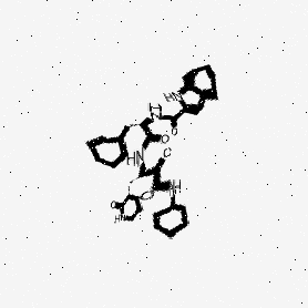 O=C(NC1CCCCC1)C(=O)[C@H](C[C@@H]1CCCNC1=O)NC(=O)[C@H](CC1CCCCC1)NC(=O)c1cc2ccccc2[nH]1